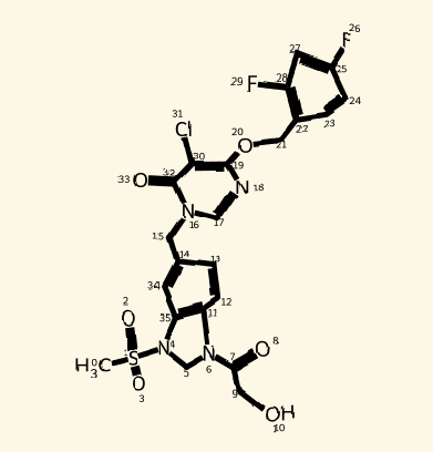 CS(=O)(=O)N1CN(C(=O)CO)c2ccc(Cn3cnc(OCc4ccc(F)cc4F)c(Cl)c3=O)cc21